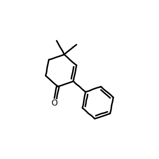 CC1(C)C=C(c2ccccc2)C(=O)CC1